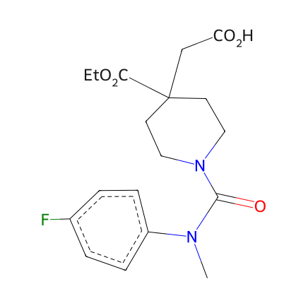 CCOC(=O)C1(CC(=O)O)CCN(C(=O)N(C)c2ccc(F)cc2)CC1